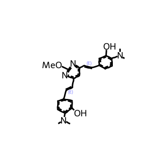 COc1nc(/C=C/c2ccc(N(C)C)c(O)c2)cc(/C=C/c2ccc(N(C)C)c(O)c2)n1